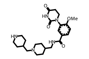 COc1ccc(C(=O)NCC2CCN(CC3CCNCC3)CC2)cc1N1CCC(=O)NC1=O